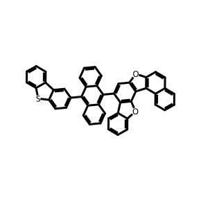 c1ccc2c(c1)ccc1oc3cc(-c4c5ccccc5c(-c5ccc6sc7ccccc7c6c5)c5ccccc45)c4c5ccccc5oc4c3c12